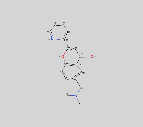 CN(C)Cc1ccc2oc(-c3ccccn3)cc(=O)c2c1